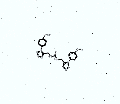 COc1ccc(-n2nnnc2CNC(=O)NCc2nnnn2-c2ccc(OC)cc2)cc1